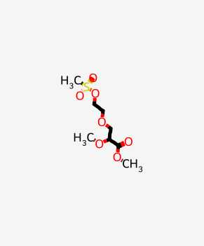 COC(=O)C(COCCOS(C)(=O)=O)OC